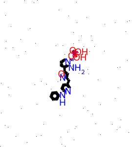 Nc1c(-c2cc(Cc3ccc(Nc4ccccc4)nc3)no2)ccc[n+]1COP(=O)(O)O